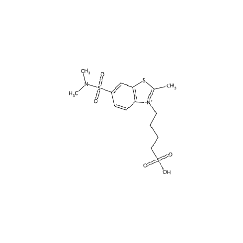 Cc1sc2cc(S(=O)(=O)N(C)C)ccc2[n+]1CCCCS(=O)(=O)O